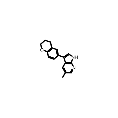 Cc1cnc2[nH]cc(-c3ccc4c(c3)CCCO4)c2c1